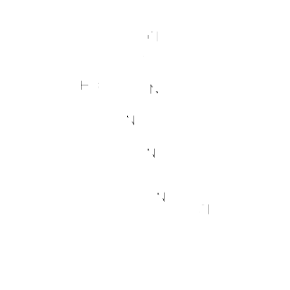 Cc1cc(Cl)cn2cc(N3CCN(c4ccccc4Cl)CC3)nc12